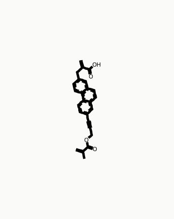 C=C(C)C(=O)OCC#Cc1ccc2c(ccc3cc(CC(=C)C(=O)O)ccc32)c1